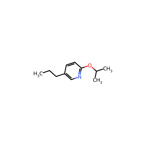 CCCc1ccc(OC(C)C)nc1